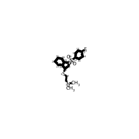 CN(C)CCSc1cn(S(=O)(=O)c2ccc(F)cc2)c2ccccc12